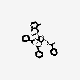 CC(=O)N(Cc1c(C)ccnc1C)[C@@H]1O[C@H](COC(=O)c2ccccc2)[C@@H](OC(=O)c2ccccc2)[C@@]1(C)OC(=O)c1ccccc1